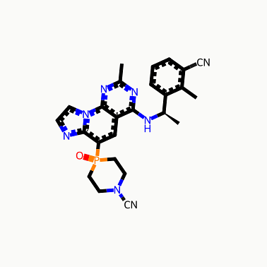 Cc1nc(N[C@H](C)c2cccc(C#N)c2C)c2cc(P3(=O)CCN(C#N)CC3)c3nccn3c2n1